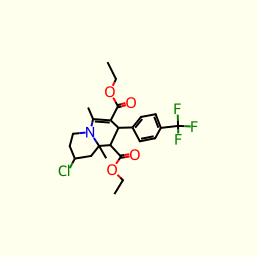 CCOC(=O)C1=C(C)N2CCC(Cl)CC2(C)C(C(=O)OCC)C1c1ccc(C(F)(F)F)cc1